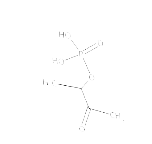 CC(=O)C(C)OP(=O)(O)O